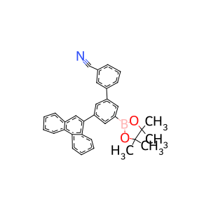 CC1(C)OB(c2cc(-c3cccc(C#N)c3)cc(-c3cc4ccccc4c4ccccc34)c2)OC1(C)C